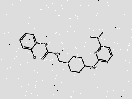 CN(C)c1ccnc(NC2CCC(CNC(=O)Nc3ccccc3Cl)CC2)n1